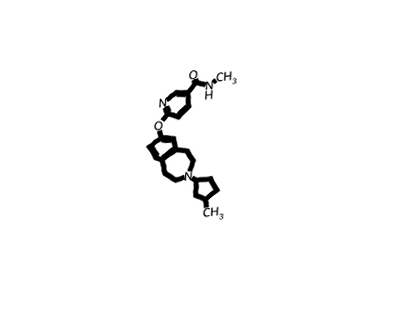 CNC(=O)c1ccc(Oc2ccc3c(c2)CCN(C2CCC(C)C2)CC3)nc1